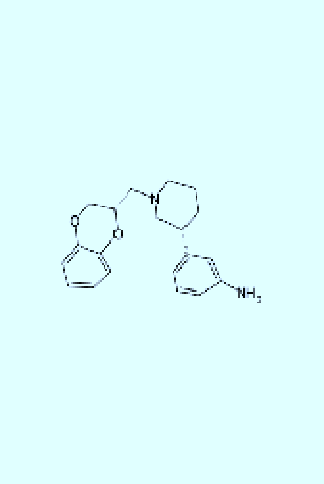 Nc1cccc([C@H]2CCCN(C[C@H]3COc4ccccc4O3)C2)c1